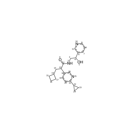 O=C(NCC(O)c1cccnc1)C(CC1CCC1)c1ccc(C2CC2)nc1